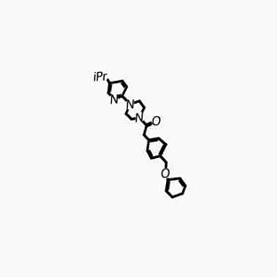 CC(C)c1ccc(N2CCN(C(=O)Cc3ccc(COC4=CCCC=C4)cc3)CC2)nc1